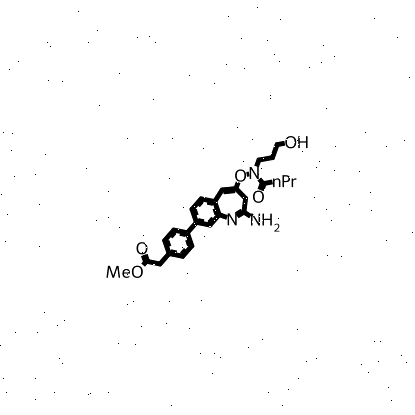 CCCC(=O)N(CCCO)OC1=Cc2ccc(-c3ccc(CC(=O)OC)cc3)cc2N=C(N)C1